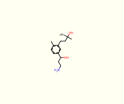 CCCC(C)(O)CCc1cc(C(O)CCN)ccc1C